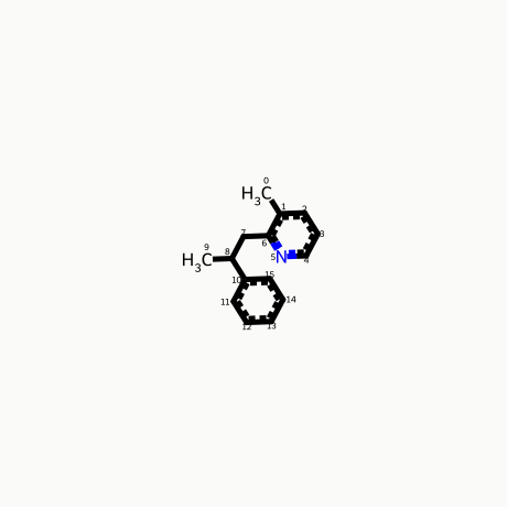 Cc1cccnc1CC(C)c1ccccc1